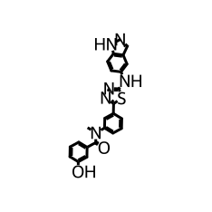 CN(C(=O)c1cccc(O)c1)c1cccc(-c2nnc(Nc3ccc4[nH]ncc4c3)s2)c1